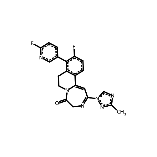 Cc1ncn(C2=NCC(=O)N3CCc4c(ccc(F)c4-c4ccc(F)nc4)C3=C2)n1